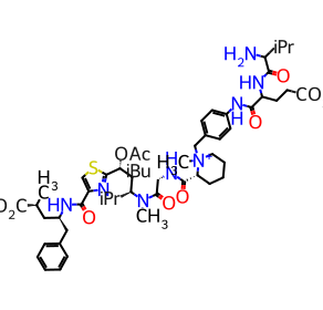 CC[C@H](C)[C@H](NC(=O)[C@H]1CCCC[N+]1(C)Cc1ccc(NC(=O)C(CCC(=O)O)NC(=O)C(N)C(C)C)cc1)C(=O)N(C)[C@H](C[C@@H](OC(C)=O)c1nc(C(=O)N[C@@H](Cc2ccccc2)C[C@H](C)C(=O)O)cs1)C(C)C